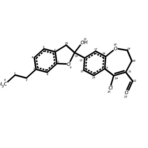 CCCc1ccc2c(c1)OC(O)(c1ccc3c(c1)OCCC(C=O)=C3Cl)C2